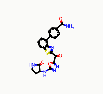 NC(=O)c1ccc(-c2cccc3sc(C(=O)c4nnc(N[C@H]5CCNC5=O)o4)nc23)cc1